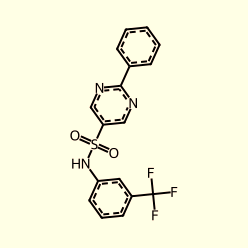 O=S(=O)(Nc1cccc(C(F)(F)F)c1)c1cnc(-c2ccccc2)nc1